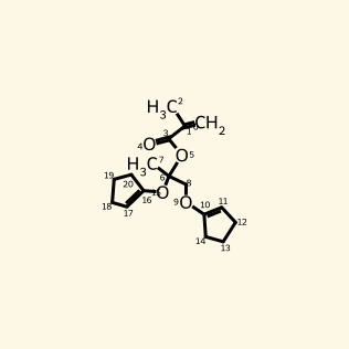 C=C(C)C(=O)OC(C)(COC1=CCCC1)OC1=CCCC1